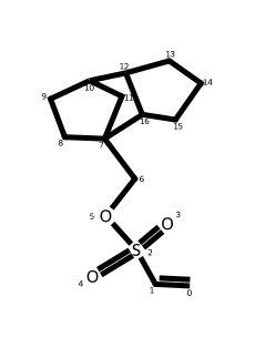 C=CS(=O)(=O)OCC12CCC(C1)C1CCCC12